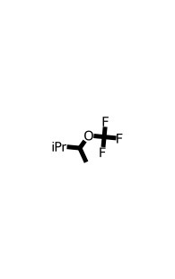 CC(C)C(C)OC(F)(F)F